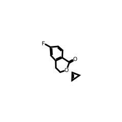 C1=CC1.O=C1OCCc2cc(F)ccc21